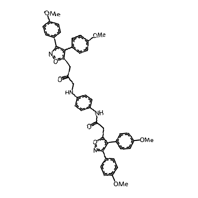 COc1ccc(-c2noc(CC(=O)CNc3ccc(NC(=O)Cc4onc(-c5ccc(OC)cc5)c4-c4ccc(OC)cc4)cc3)c2-c2ccc(OC)cc2)cc1